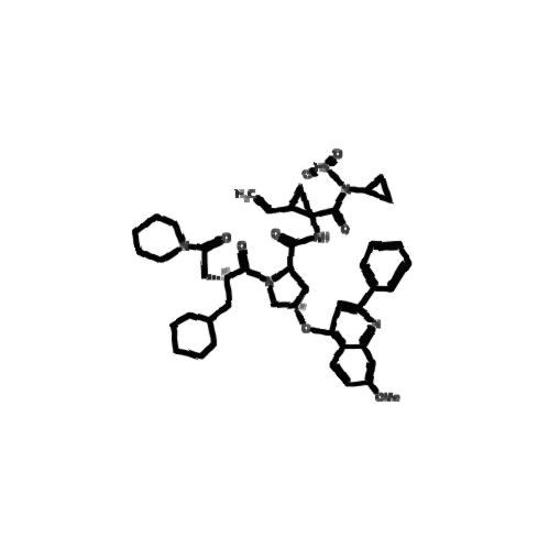 C=CC1CC1(NC(=O)C1C[C@@H](Oc2cc(-c3ccccc3)nc3cc(OC)ccc23)CN1C(=O)[C@@H](CC(=O)N1CCCCC1)CC1CCCCC1)C(=O)N(C1CC1)[SH](=O)=O